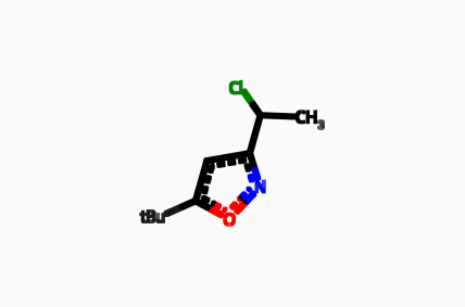 CC(Cl)c1cc(C(C)(C)C)on1